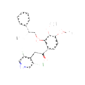 COc1ccc(C(=O)Cc2c(Cl)cncc2Cl)c(OCC(C)c2ccccc2)c1OC